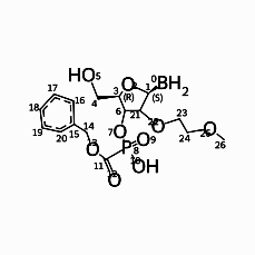 B[C@@H]1O[C@H](CO)C(OP(=O)(O)C(=O)OCc2ccccc2)C1OCCOC